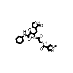 Cn1cc(C(=O)NCC(=O)NC(CC2CCNC2=O)C(=O)C(=O)NC2CCCCC2)cn1